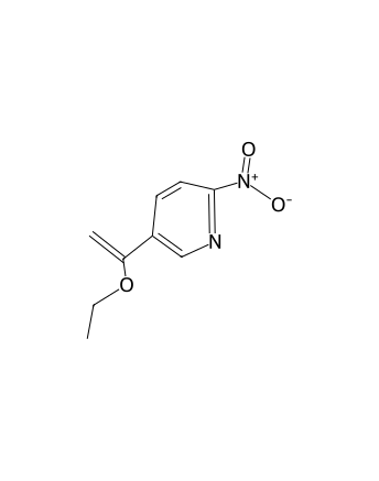 C=C(OCC)c1ccc([N+](=O)[O-])nc1